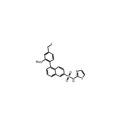 COc1cc(CF)ccc1-c1cccc2cc(S(=O)(=O)Nc3nccs3)ccc12